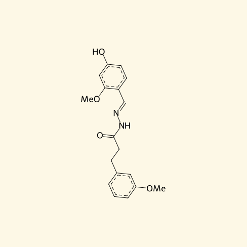 COc1cccc(CCC(=O)N/N=C/c2ccc(O)cc2OC)c1